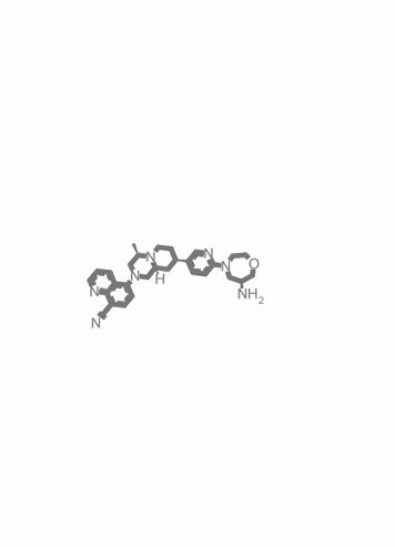 C[C@@H]1CN(c2ccc(C#N)c3ncccc23)C[C@@H]2C[C@H](c3ccc(N4CCOC[C@@H](N)C4)nc3)CCN21